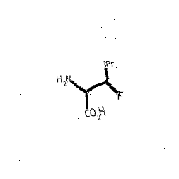 CC(C)C(F)C(N)C(=O)O